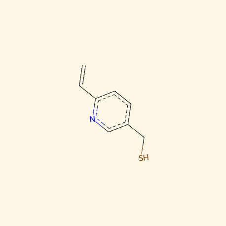 C=Cc1ccc(CS)cn1